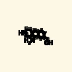 N[C@@H]1c2cc(CO)ccc2CC12CCNCC2